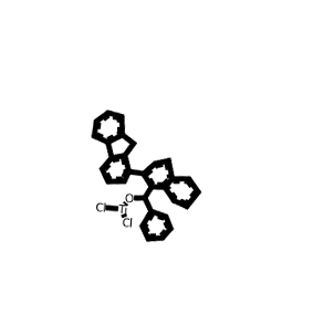 [Cl][Ti]([Cl])[O]C(c1ccccc1)c1c(-c2cccc3c2Cc2ccccc2-3)ccc2ccccc12